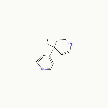 CCC1(c2ccncc2)C=CN=CC1